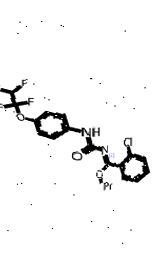 CC(C)O/C(=N\C(=O)Nc1ccc(OC(F)(F)C(F)F)cc1)c1ccccc1Cl